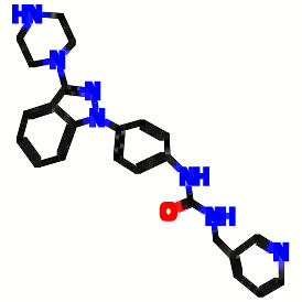 O=C(NCc1cccnc1)Nc1ccc(-n2nc(N3CCNCC3)c3ccccc32)cc1